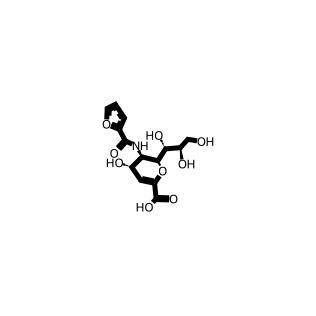 O=C(O)C1=C[C@H](O)[C@@H](NC(=O)c2ccco2)[C@H]([C@H](O)[C@H](O)CO)O1